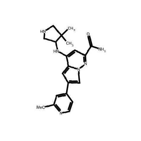 COc1cc(-c2cc3c(NC4CNCC4(C)C)cc(C(N)=O)nn3c2)ccn1